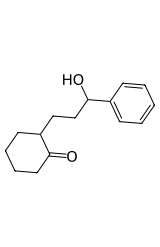 O=C1CCCCC1CCC(O)c1ccccc1